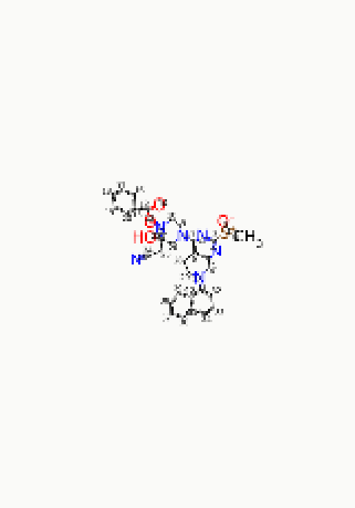 C[S+]([O-])c1nc2c(c(N3CCN(OC(=O)c4ccccc4)C(O)(CC#N)C3)n1)CCN(c1cccc3ccccc13)C2